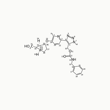 Cc1nc(-c2nnn(C)c2COC(=O)NCc2ccccc2)ccc1O[C@@H]1CC[C@H]2C(C(=O)O)[C@@H]12